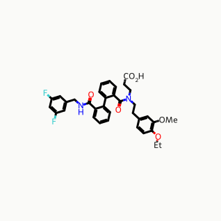 CCOc1ccc(CCN(CCC(=O)O)C(=O)c2ccccc2-c2ccccc2C(=O)NCc2cc(F)cc(F)c2)cc1OC